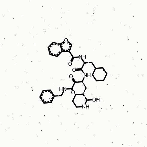 O=C(NCc1ccccc1)C(=O)[C@H](C[C@@H]1CCCNC1O)NC(=O)C(CC1CCCCC1)NC(=O)c1coc2ccccc12